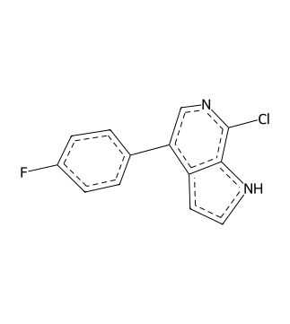 Fc1ccc(-c2cnc(Cl)c3[nH]ccc23)cc1